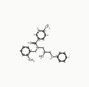 Cc1ccccc1CN(CC(O)COc1ccccc1)C(=O)c1ccc(C(F)(F)F)nc1